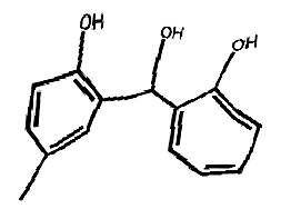 Cc1ccc(O)c(C(O)c2ccccc2O)c1